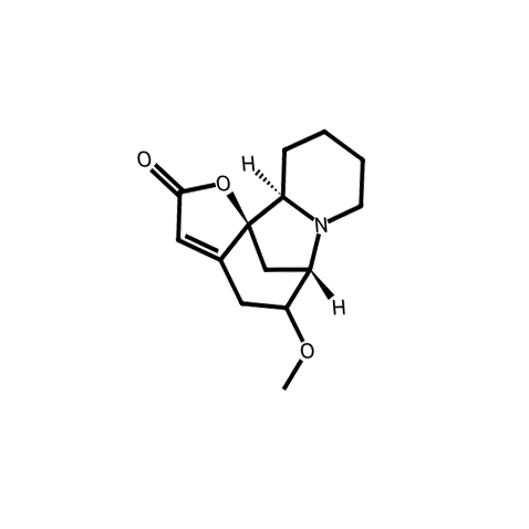 COC1CC2=CC(=O)O[C@@]23C[C@@H]1N1CCCC[C@@H]13